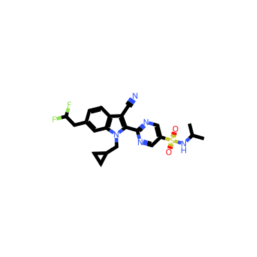 CC(C)NS(=O)(=O)c1cnc(-c2c(C#N)c3ccc(CC(F)F)cc3n2CC2CC2)nc1